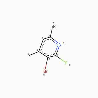 Cc1cc(C(C)C)nc(F)c1Br